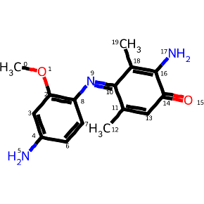 COc1cc(N)ccc1N=C1C(C)=CC(=O)C(N)=C1C